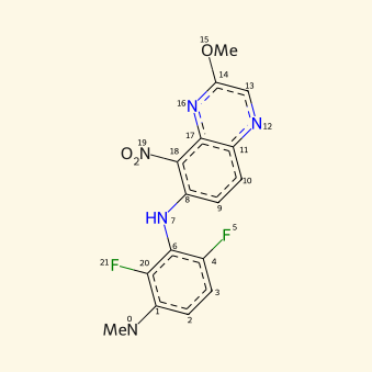 CNc1ccc(F)c(Nc2ccc3ncc(OC)nc3c2[N+](=O)[O-])c1F